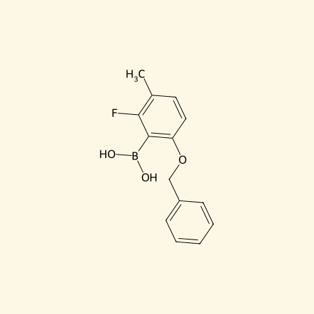 Cc1ccc(OCc2ccccc2)c(B(O)O)c1F